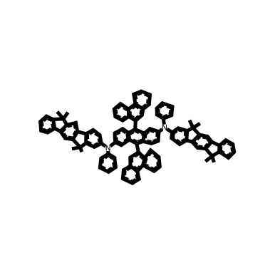 CC1(C)c2ccccc2-c2cc3c(cc21)-c1ccc(N(c2ccccc2)c2ccc4c(-c5cc6ccccc6c6ccccc56)c5cc(N(c6ccccc6)c6ccc7c(c6)C(C)(C)c6cc8c(cc6-7)C(C)(C)c6ccccc6-8)ccc5c(-c5cc6ccccc6c6ccccc56)c4c2)cc1C3(C)C